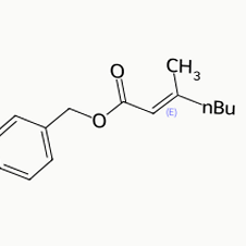 CCCC/C(C)=C/C(=O)OCc1ccccc1